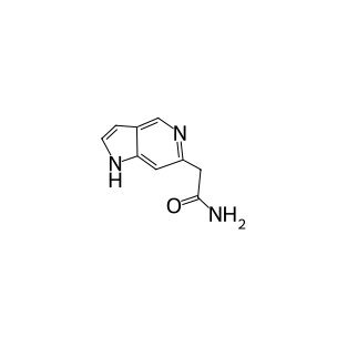 NC(=O)Cc1cc2[nH]ccc2cn1